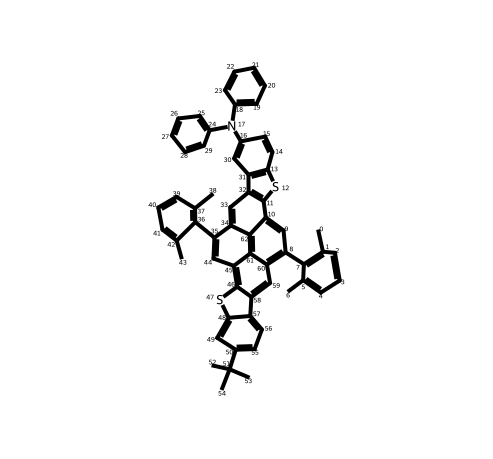 Cc1cccc(C)c1-c1cc2c3sc4ccc(N(c5ccccc5)c5ccccc5)cc4c3cc3c(-c4c(C)cccc4C)cc4c5sc6cc(C(C)(C)C)ccc6c5cc1c4c32